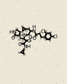 O=C(CCc1ccc(Cl)cc1Cl)NC(CC1CC1)C(=O)NC(C[C@@H]1CCNC1=O)C(=O)C(=O)NC1CC1